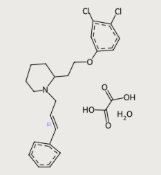 Clc1ccc(OCCC2CCCCN2C/C=C/c2ccccc2)cc1Cl.O.O=C(O)C(=O)O